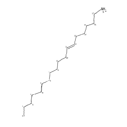 CCCCCCCCCCC/C=C/CCCCCN